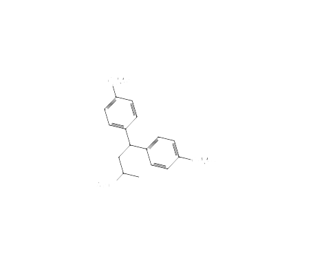 COc1ccc(C(CC(C)OC(C)=O)c2ccc(OC)cc2)cc1